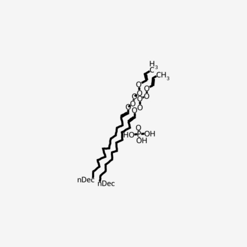 CC=COOOOOC=CCCCCCCCCCCCCCCCCCCCC.CC=COOOOOC=CCCCCCCCCCCCCCCCCCCCC.O=P(O)(O)O